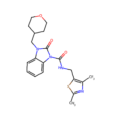 Cc1nc(C(F)(F)F)c(CNC(=O)n2c(=O)n(CC3CCOCC3)c3ccccc32)s1